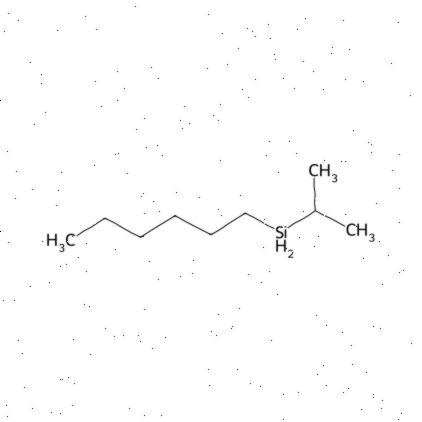 CCCCCC[SiH2]C(C)C